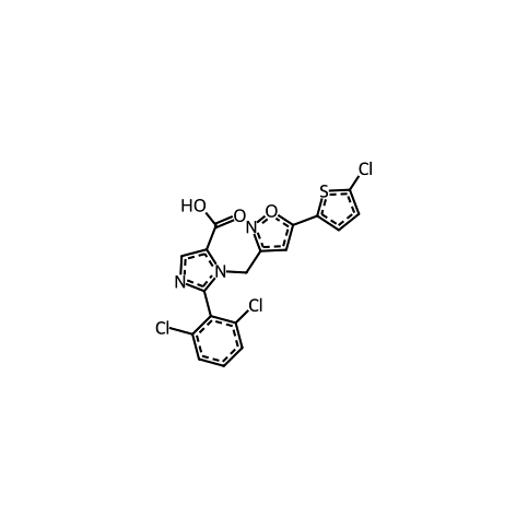 O=C(O)c1cnc(-c2c(Cl)cccc2Cl)n1Cc1cc(-c2ccc(Cl)s2)on1